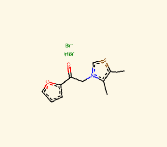 Br.Cc1sc[n+](CC(=O)c2ccco2)c1C.[Br-]